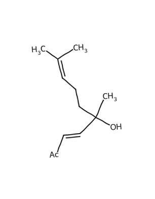 CC(=O)C=CC(C)(O)CCC=C(C)C